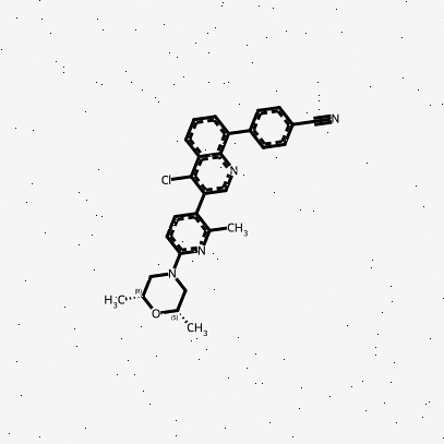 Cc1nc(N2C[C@@H](C)O[C@@H](C)C2)ccc1-c1cnc2c(-c3ccc(C#N)cc3)cccc2c1Cl